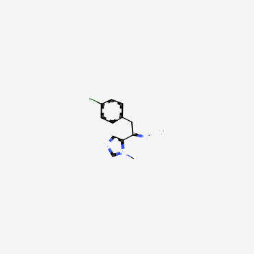 CO/N=C(\Cc1ccc(Cl)cc1)c1cncn1C